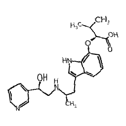 CC(C)[C@H](Oc1cccc2c(C[C@@H](C)NC[C@H](O)c3cccnc3)c[nH]c12)C(=O)O